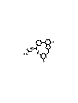 NC(=O)CNC(=O)c1cccc(-c2ccc(F)c3cc(Cc4cc(F)cc(Cl)c4)sc23)c1